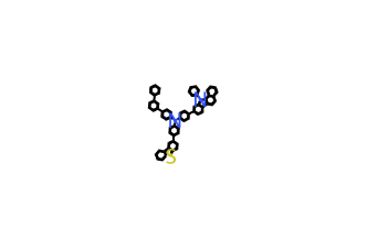 c1ccc(-c2cccc(-c3ccc(N(c4ccc(-c5ccc6sc7ccccc7c6c5)cc4)c4ccc(-c5ccc6c7ccc8ccccc8c7n(-c7ccccc7)c6c5)cc4)cc3)c2)cc1